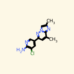 Cc1cn2nc(-c3cnc(N)c(Cl)c3)cc(C)c2n1